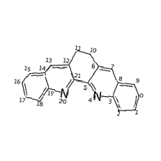 c1ccc2nc3c(cc2c1)CCc1cc2ccccc2nc1-3